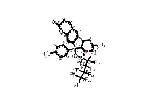 Cc1ccc(S(OS(=O)(=O)C(F)(F)C(F)(F)C(F)(F)C(F)(F)F)(c2ccc(C)cc2)c2ccc3ccc(=O)oc3c2)cc1